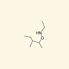 [CH2]CNOC(C)C(C)CC